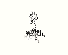 CC1=CC2CC1C1C(=O)N(CCCCCC(=O)NC(C(=O)N[C@@H](C)C(=O)N=O)C(C)C)C(=O)C21